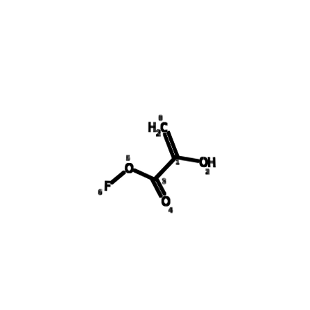 C=C(O)C(=O)OF